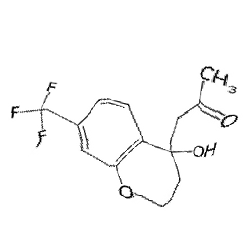 CC(=O)CC1(O)CCOc2cc(C(F)(F)F)ccc21